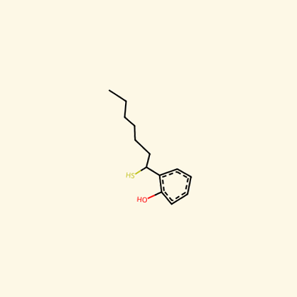 CCCCCCC(S)c1ccccc1O